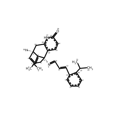 CC=C1[C@H]2C=C(C)C[C@]1(N=CC=Cc1ccccc1C(C)C)c1ccc(=O)[nH]c1C2